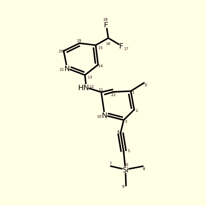 Cc1cc(C#C[Si](C)(C)C)nc(Nc2cc(C(F)F)ccn2)c1